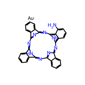 Nc1cccc2c3nc4nc(nc5[nH]c(nc6nc(nc([nH]3)c12)-c1ccccc1-6)c1ccccc51)-c1ccccc1-4.[Au]